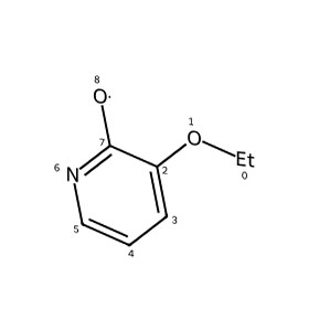 CCOc1cccnc1[O]